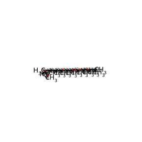 CCOC(=O)C(C#N)C(C)CC/C=C(\C)CC/C=C(\C)CC/C=C(\C)CC/C=C(\C)CC/C=C(\C)CC/C=C(\C)CC/C=C(\C)CC/C=C(\C)CCC=C(C)C